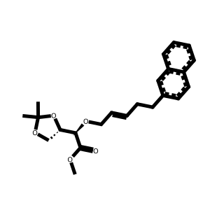 COC(=O)[C@H](OC/C=C/CCc1ccc2ccccc2c1)[C@@H]1COC(C)(C)O1